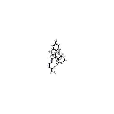 C=C(Cl)/C=C\C=C(/F)[C@@H]1[C@H]2C(=O)OCC[C@H]2N[C@@]12C(=O)Nc1cc(Cl)ccc12